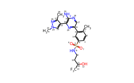 Cc1ccc(S(=O)(=O)NCC[C@@H](O)C(F)(F)F)cc1-c1cnc(N)c(-c2cn(C)nc2C)n1